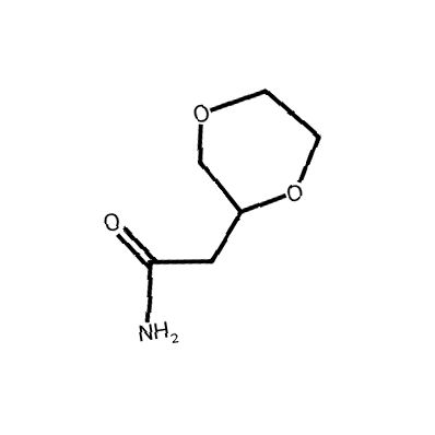 NC(=O)CC1COCCO1